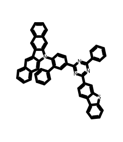 c1ccc(-c2nc(-c3ccc(-n4c5cc6ccccc6cc5c5cc6ccccc6cc54)c(-c4ccccc4)c3)nc(-c3ccc4c(c3)sc3ccccc34)n2)cc1